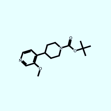 COc1cnccc1C1CCN(C(=O)OC(C)(C)C)CC1